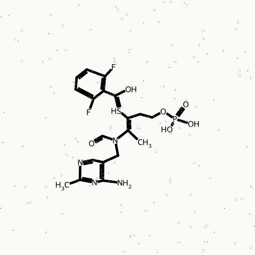 C/C(=C(CCOP(=O)(O)O)/[SH]=C(\O)c1c(F)cccc1F)N(C=O)Cc1cnc(C)nc1N